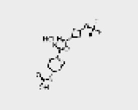 Cl.O=C(O)N[C@@H]1CC[C@@H](c2nnc(C3CC(OC(F)(F)F)C3)o2)OC1